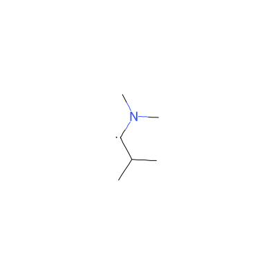 CC(C)[CH]N(C)C